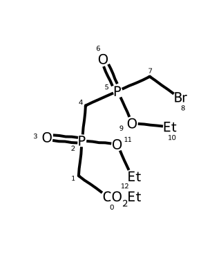 CCOC(=O)CP(=O)(CP(=O)(CBr)OCC)OCC